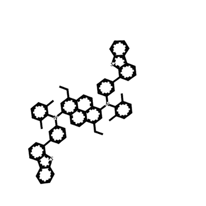 CCc1cc(N(c2cccc(-c3cccc4c3sc3ccccc34)c2)c2c(C)cccc2C)c2ccc3c(CC)cc(N(c4cccc(-c5cccc6c5sc5ccccc56)c4)c4c(C)cccc4C)c4ccc1c2c34